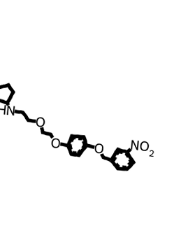 O=[N+]([O-])c1cccc(COc2ccc(OCCOCCNC3CCCC3)cc2)c1